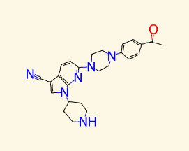 CC(=O)c1ccc(N2CCN(c3ccc4c(C#N)cn(C5CCNCC5)c4n3)CC2)cc1